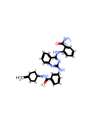 C=C1CCC(NC(=O)c2cccc(Nc3nc(Nc4ccccc4C(N)=O)c4ccccc4n3)c2)CC1